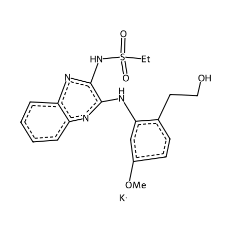 CCS(=O)(=O)Nc1nc2ccccc2nc1Nc1cc(OC)ccc1CCO.[K]